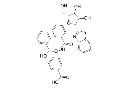 O=C(O)c1ccccc1.O=C(O)c1ccccc1.O=C(O)c1ccccc1.OC[C@H]1O[C@@H](c2nc3ccccc3s2)[C@H](O)[C@@H]1O